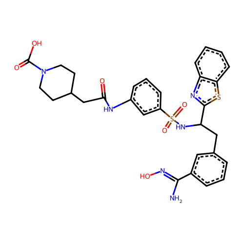 NC(=NO)c1cccc(CC(NS(=O)(=O)c2cccc(NC(=O)CC3CCN(C(=O)O)CC3)c2)c2nc3ccccc3s2)c1